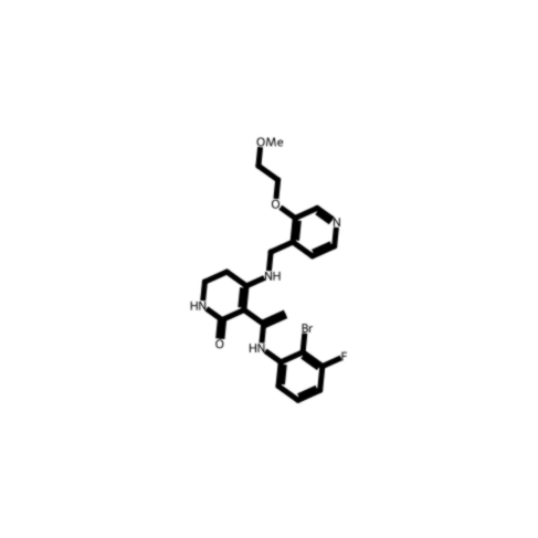 C=C(Nc1cccc(F)c1Br)C1=C(NCc2ccncc2OCCOC)CCNC1=O